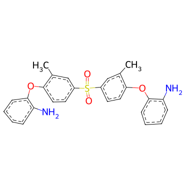 Cc1cc(S(=O)(=O)c2ccc(Oc3ccccc3N)c(C)c2)ccc1Oc1ccccc1N